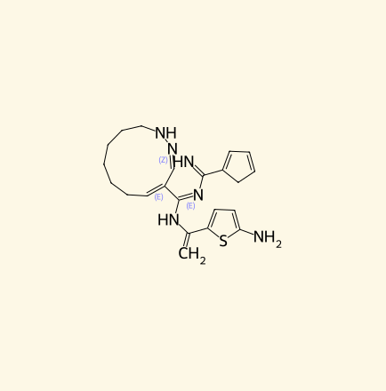 C=C(NC(=N/C(=N)C1=CC=CC1)/C1=C/CCCCCCN/N=C\1)c1ccc(N)s1